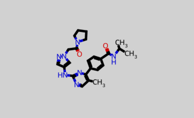 Cc1cnc(Nc2cnn(CC(=O)N3CCCC3)c2)nc1-c1ccc(C(=O)NC(C)C)cc1